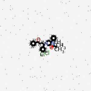 CC(C)C(=O)N(C)C1(c2ccccc2)CCN(C(CCC(=O)c2ccccc2)c2ccc(Cl)c(Cl)c2)CC1